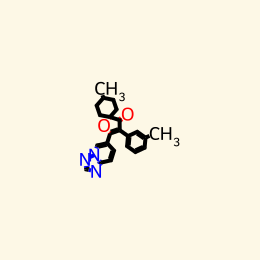 Cc1cccc(C2=C(c3ccc4ncnn4c3)OC3(CCC(C)CC3)C2=O)c1